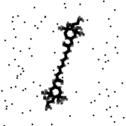 CCCN1C(C)(C)CCC(OC(=O)CCCCCCCCC(=O)OC2CCC(C)(C)N(CCC)C(C)(C)C2)CC1(C)C